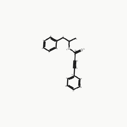 CC(Cc1ccccc1)OC(=O)C#Cc1ccccc1